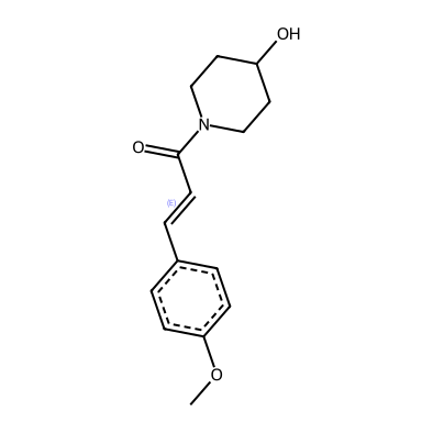 COc1ccc(/C=C/C(=O)N2CCC(O)CC2)cc1